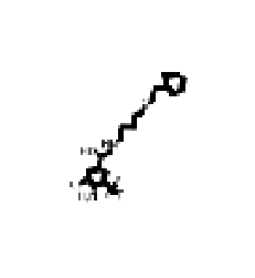 Nc1c(Cl)cc(C(O)CNCCCCCOCCc2ccccc2)cc1C(F)(F)F